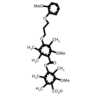 COc1ccccc1OCCCOc1c(C)c(C)c(C(=O)Oc2c(C)c(C)c(C(=O)O)c(OC)c2C)c(OC)c1C